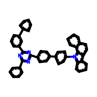 c1ccc(-c2cccc(-c3nc(-c4ccccc4)nc(-c4ccc(-c5ccc(-n6c7ccccc7c7ccc8ccccc8c76)cc5)cc4)n3)c2)cc1